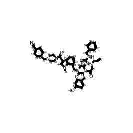 C=CCN1CC(=O)N2[C@@H](Cc3ccc(O)cc3)C(=O)N(Cc3cccc4c(C(=O)N5CCN(Cc6ccc(C#N)cc6)CC5)cn(C)c34)C[C@@H]2N1C(=O)NCc1ccccc1